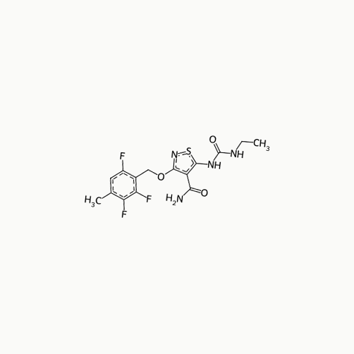 CCNC(=O)Nc1snc(OCc2c(F)cc(C)c(F)c2F)c1C(N)=O